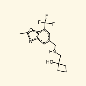 Cc1nc2cc(CNCC3(O)CCC3)cc(C(F)(F)F)c2o1